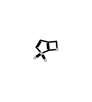 O=S1(=O)C=CC2=C1OC2